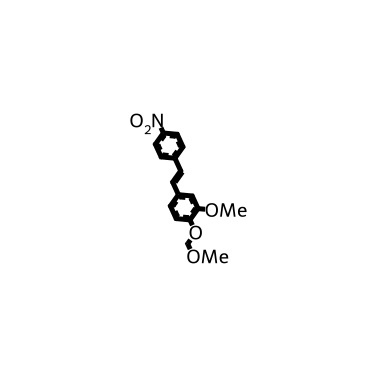 COCOc1ccc(C=Cc2ccc([N+](=O)[O-])cc2)cc1OC